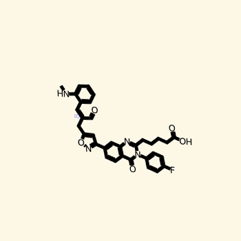 CNc1ccccc1/C=C(\C=O)Cc1cc(-c2ccc3c(=O)n(-c4ccc(F)cc4)c(CCCCC(=O)O)nc3c2)no1